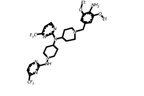 CCOc1cc(CN2CCC(N(c3nccc(C(F)(F)F)n3)C3CCN(Nc4nccc(C(F)(F)F)n4)CC3)CC2)cc(OCC)c1N